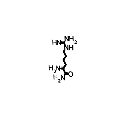 N=C(N)NCCCC[C@H](N)C(N)=O